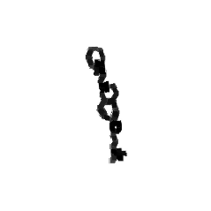 CN(C)CCCOc1ccc2c(c1)CCN(CCN1CCCCC1)C2